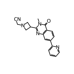 Cn1c(C2CN(CC#N)C2)nc2cc(-c3ccccn3)ccc2c1=O